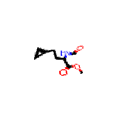 COC(=O)C(CCC1CC1)NC=O